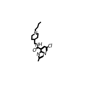 CCCCN1CCC(CNC(=O)c2cc(Cl)cn3cc(C)nc23)CC1